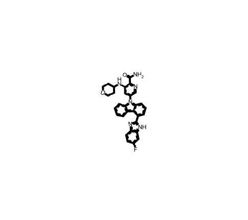 NC(=O)c1ncc(-n2c3ccccc3c3c(-c4nc5ccc(F)cc5[nH]4)cccc32)cc1NC1CCOCC1